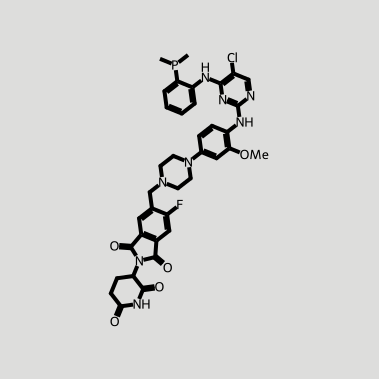 COc1cc(N2CCN(Cc3cc4c(cc3F)C(=O)N(C3CCC(=O)NC3=O)C4=O)CC2)ccc1Nc1ncc(Cl)c(Nc2ccccc2P(C)C)n1